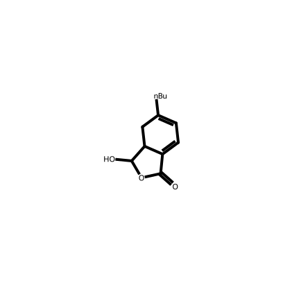 CCCCC1=CC=C2C(=O)OC(O)C2C1